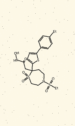 CCc1ccc(-c2ccc(C3(CC(=O)NO)CCN(S(=O)(=O)CC)CCS3(=O)=O)s2)cc1